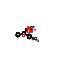 C/C(OS(=O)(=O)C(F)(F)F)=C1\CC(c2ccccc2)OC1c1ccc([N+](=O)[O-])cc1